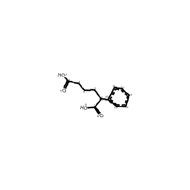 O=C(O)CCCC(C(=O)O)c1ccccc1